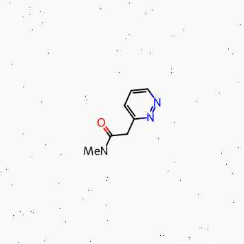 CNC(=O)Cc1cccnn1